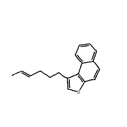 [CH2]C=CCCCc1coc2ccc3ccccc3c12